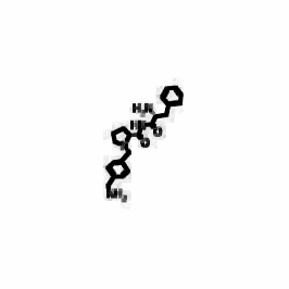 NCc1ccc(CN2CCC[C@H]2C(=O)NC(=O)[C@H](N)Cc2ccccc2)cc1